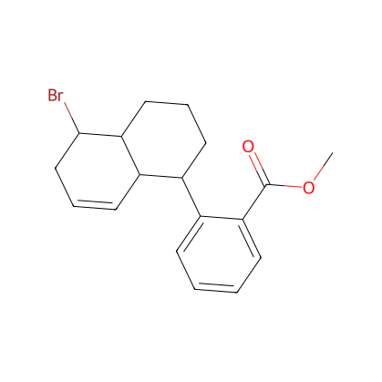 COC(=O)c1ccccc1C1CCCC2C(Br)CC=CC12